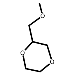 COCC1COCCO1